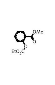 CCOC(=O)Oc1ccccc1C(=O)OC